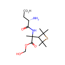 CC1(C)SC(C)(C)C1C(C)(NC(=O)[C@@H](N)CC(=O)O)C(=O)OCO